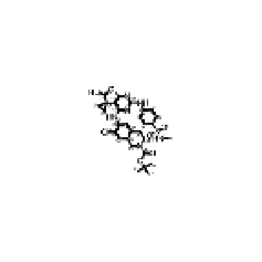 CNS(=O)(=O)c1ccc(Nc2ncc(C3(C(=O)O)CC3)c(Nc3cc4c(cc3Cl)CN(C(=O)OC(C)(C)C)CC4)n2)cc1